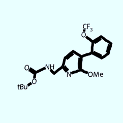 COc1nc(CNC(=O)OC(C)(C)C)ccc1-c1ccccc1OC(F)(F)F